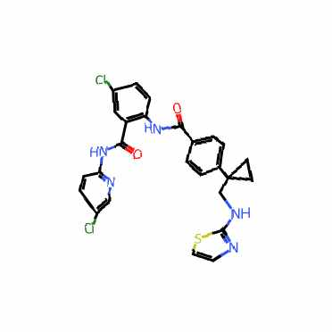 O=C(Nc1ccc(Cl)cc1C(=O)Nc1ccc(Cl)cn1)c1ccc(C2(CNc3nccs3)CC2)cc1